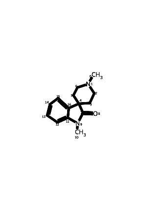 CN1CCC2(CC1)C(=O)N(C)c1ccccc12